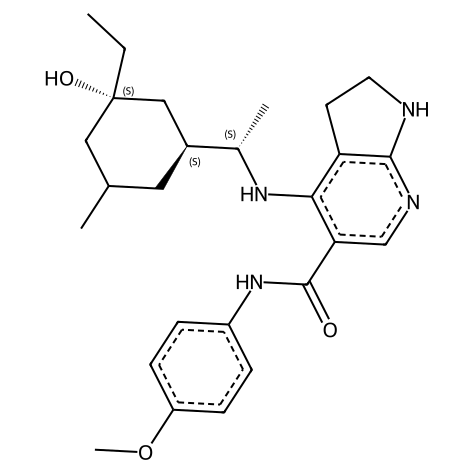 CC[C@]1(O)CC(C)C[C@H]([C@H](C)Nc2c(C(=O)Nc3ccc(OC)cc3)cnc3c2CCN3)C1